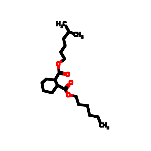 CCCCCCOC(=O)C1CCCCC1C(=O)OCCCCC(C)C